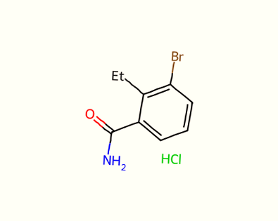 CCc1c(Br)cccc1C(N)=O.Cl